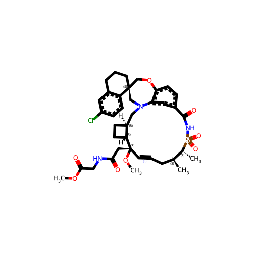 COC(=O)CNC(=O)C[C@]1(OC)/C=C/C[C@H](C)[C@@H](C)S(=O)(=O)NC(=O)c2ccc3c(c2)N(C[C@@H]2CC[C@H]21)C[C@@]1(CCCc2cc(Cl)ccc21)CO3